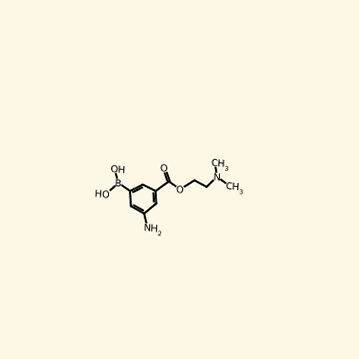 CN(C)CCOC(=O)c1cc(N)cc(B(O)O)c1